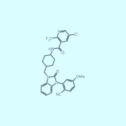 COc1ccc(C#N)c(-n2c(=O)n(CC3CCC(NC(=O)c4cc(Cl)cnc4C(F)(F)F)CC3)c3ccccc32)c1